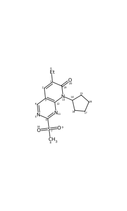 CCc1cc2cnc(S(C)(=O)=O)nc2n(C2CCCC2)c1=O